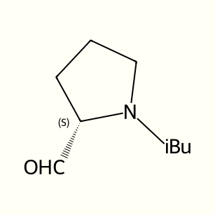 CCC(C)N1CCC[C@H]1C=O